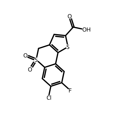 O=C(O)c1cc2c(s1)-c1cc(F)c(Cl)cc1S(=O)(=O)C2